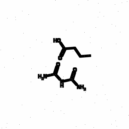 CCCC(=O)O.NC(=O)NC(N)=O